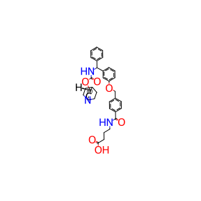 O=C(O)CCCNC(=O)c1ccc(COc2cccc(C(NC(=O)O[C@H]3CN4CCC3CC4)c3ccccc3)c2)cc1